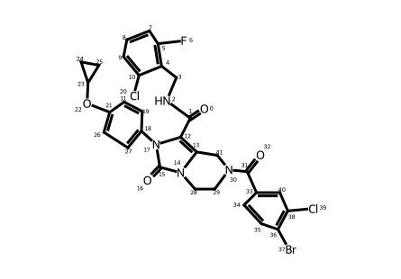 O=C(NCc1c(F)cccc1Cl)c1c2n(c(=O)n1-c1ccc(OC3CC3)cc1)CCN(C(=O)c1ccc(Br)c(Cl)c1)C2